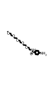 COCCOCCOCCOCCOCCN[S+]([O-])c1ccc(N)cc1